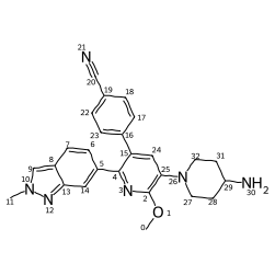 COc1nc(-c2ccc3cn(C)nc3c2)c(-c2ccc(C#N)cc2)cc1N1CCC(N)CC1